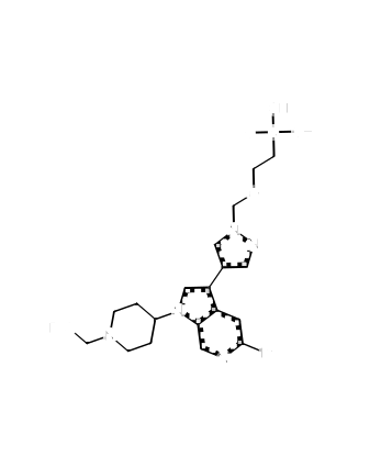 CS(C)(C)CCOCn1cc(-c2cn(C3CCN(CC(F)(F)F)CC3)c3cnc(Br)cc23)cn1